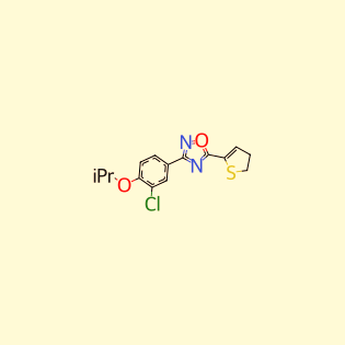 CC(C)Oc1ccc(-c2noc(C3=CCCS3)n2)cc1Cl